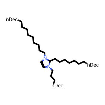 CCCCCCCCCCCCCCCCCCCN1C=CN(CCCCCCCCCCCCC)C1CCCCCCCCCCCCCCCCC